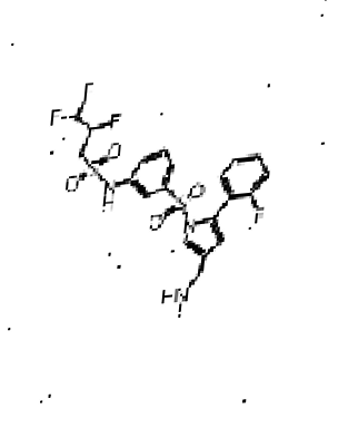 CNCc1cc(-c2ccccc2F)n(S(=O)(=O)c2cccc(NS(=O)(=O)CC(F)C(F)F)c2)c1